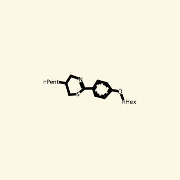 CCCCCCOc1ccc(C2=NCC(CCCCC)CS2)cc1